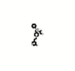 CC(C=O)OC1(CNc2ccccc2)CCN(CCc2cncc(F)c2)CC1